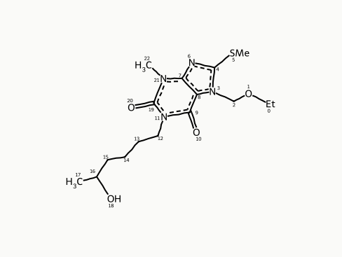 CCOCn1c(SC)nc2c1c(=O)n(CCCCC(C)O)c(=O)n2C